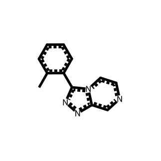 Cc1ccccc1-c1nnc2cnccn12